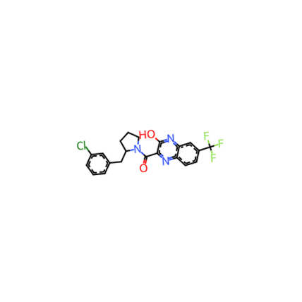 O=C(c1nc2ccc(C(F)(F)F)cc2nc1O)N1CCCC1Cc1cccc(Cl)c1